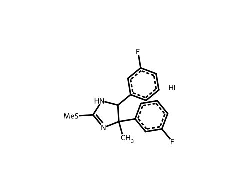 CSC1=NC(C)(c2cccc(F)c2)C(c2cccc(F)c2)N1.I